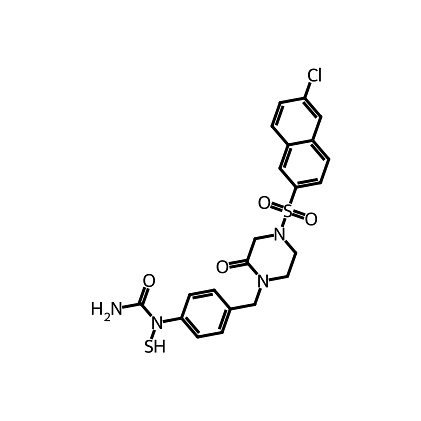 NC(=O)N(S)c1ccc(CN2CCN(S(=O)(=O)c3ccc4cc(Cl)ccc4c3)CC2=O)cc1